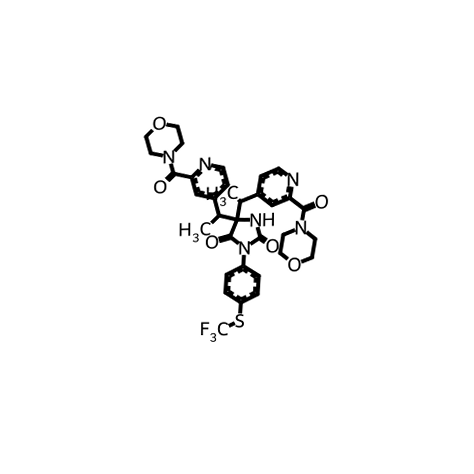 CC(c1ccnc(C(=O)N2CCOCC2)c1)C1(C(C)c2ccnc(C(=O)N3CCOCC3)c2)NC(=O)N(c2ccc(SC(F)(F)F)cc2)C1=O